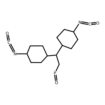 O=C=NC1CCC(C(CP=O)C2CCC(N=C=O)CC2)CC1